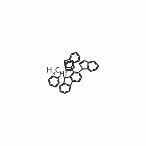 [CH3][Hf]([c]1ccccc1)([c]1ccccc1)[CH]1c2ccccc2-c2ccc(C3C=Cc4ccccc43)c(C3C=Cc4ccccc43)c21